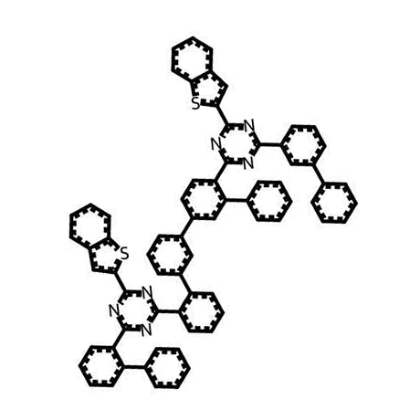 c1ccc(-c2cccc(-c3nc(-c4cc5ccccc5s4)nc(-c4ccc(-c5cccc(-c6ccccc6-c6nc(-c7cc8ccccc8s7)nc(-c7ccccc7-c7ccccc7)n6)c5)cc4-c4ccccc4)n3)c2)cc1